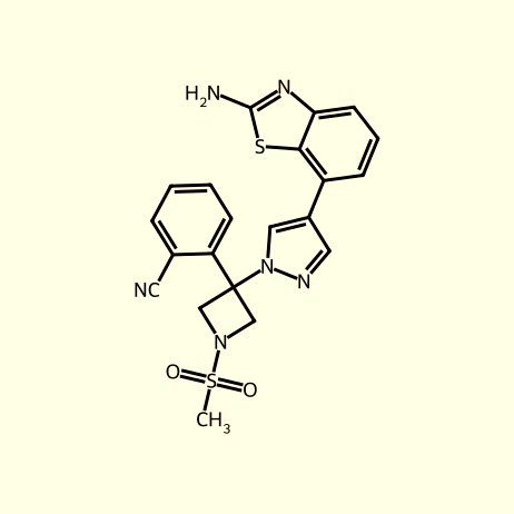 CS(=O)(=O)N1CC(c2ccccc2C#N)(n2cc(-c3cccc4nc(N)sc34)cn2)C1